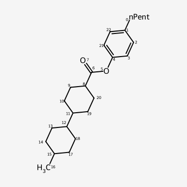 CCCCCc1ccc(OC(=O)C2CCC(C3CCC(C)CC3)CC2)cc1